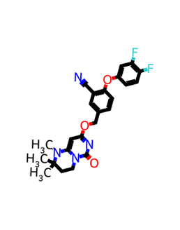 CN1c2cc(OCc3ccc(Oc4ccc(F)c(F)c4)c(C#N)c3)nc(=O)n2CCC1(C)C